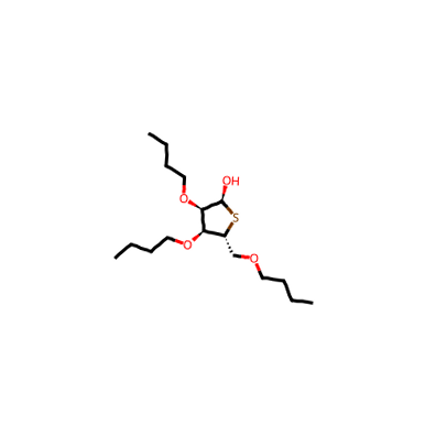 CCCCOC[C@H]1S[C@H](O)[C@H](OCCCC)[C@@H]1OCCCC